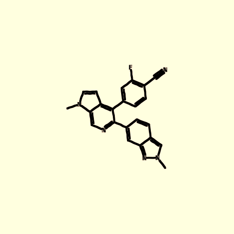 Cn1cc2ccc(-c3ncc4c(ccn4C)c3-c3ccc(C#N)c(F)c3)cc2n1